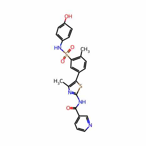 Cc1ccc(-c2sc(NC(=O)c3cccnc3)nc2C)cc1S(=O)(=O)Nc1ccc(O)cc1